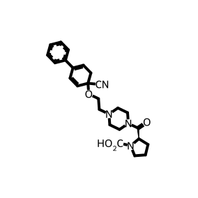 N#CC1(OCCN2CCN(C(=O)[C@H]3CCCN3C(=O)O)CC2)C=CC(c2ccccc2)=CC1